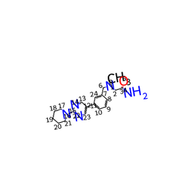 CN(CC(N)=O)Cc1cccc(-c2cnc(N3CCCCC3)nc2)c1